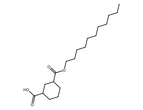 CCCCCCCCCCCOC(=O)C1CCCC(C(=O)O)C1